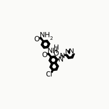 NC(=O)c1ccc(NC(=O)c2cc3cc(Cl)ccc3c(/N=N/c3cccnn3)c2O)cc1